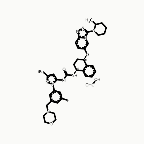 CC1CCCCN1c1nnc2ccc(O[C@@H]3CC[C@H](NC(=O)Nc4cc(C(C)(C)C)nn4-c4cc(F)cc(CN5CCOCC5)c4)c4ccccc43)cn12.O=CO